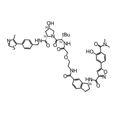 Cc1ncsc1-c1ccc(CNC(=O)[C@@H]2C[C@@H](O)CN2C(=O)[C@@H](NC(=O)COCCNC(=O)c2ccc3c(c2)[C@H](NC(=O)c2cc(-c4ccc(C(=O)N(C)C)c(O)c4)on2)CC3)C(C)(C)C)cc1